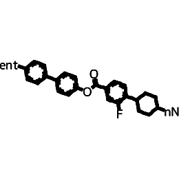 CCCCCCCCCC1CCC(c2ccc(C(=O)Oc3ccc(-c4ccc(CCCCC)cc4)cc3)cc2F)CC1